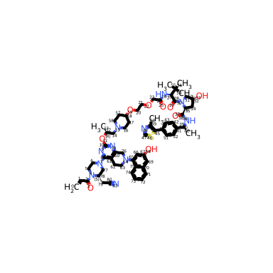 C=CC(=O)N1CCN(c2nc(O[C@H](C)CN3CCC(OCCOCC(=O)N[C@H](C(=O)N4C[C@H](O)C[C@H]4C(=O)N[C@@H](C)c4ccc(-c5scnc5C)cc4)C(C)(C)C)CC3)nc3c2CCN(c2cc(O)cc4ccccc24)C3)C[C@@H]1CC#N